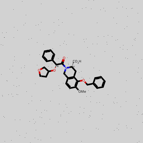 COc1ccc2c(c1OCc1ccccc1)C[C@@H](C(=O)O)N(C(=O)[C@H](OC1CCOC1)c1ccccc1)C2